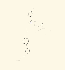 CC1(C)C(NC(=O)/C(=N\OCCOc2ccc(-c3cnn(CCCN)c3)cc2)c2csc(N)n2)C(=O)N1S(=O)(=O)O